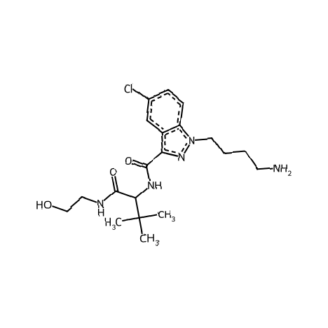 CC(C)(C)C(NC(=O)c1nn(CCCCN)c2ccc(Cl)cc12)C(=O)NCCO